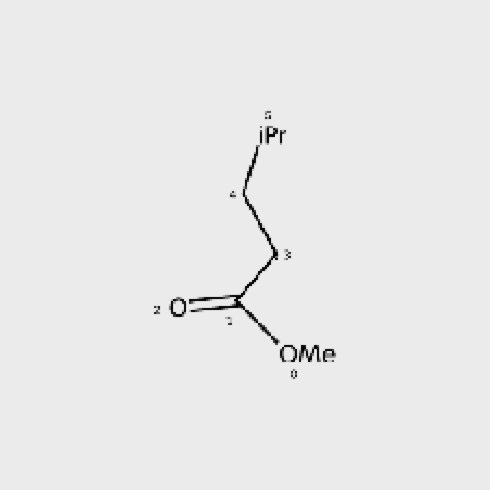 COC(=O)[CH]CC(C)C